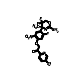 C[C@]1(c2cc([N+](=O)[O-])c(OCC(=O)c3ccc(Cl)cn3)cc2F)N=C(N)OCC1(F)F